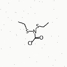 CCSN(SCC)C(=O)Cl